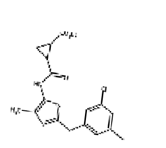 CCOC(=O)C1CC1C(=O)Nc1sc(Cc2cc(F)cc(Cl)c2)nc1C